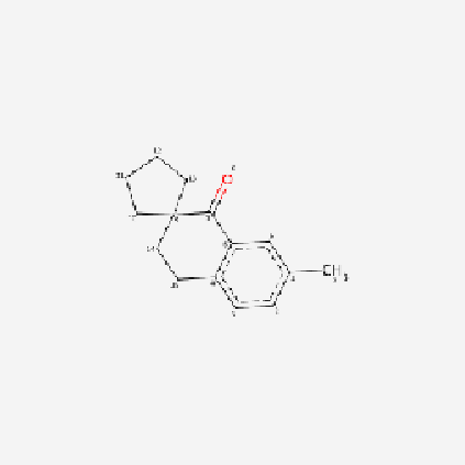 Cc1ccc2c(c1)C(=O)C1(CCCC1)CC2